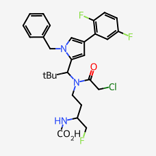 CC(C)(C)C(c1cc(-c2cc(F)ccc2F)cn1Cc1ccccc1)N(CCC(CF)NC(=O)O)C(=O)CCl